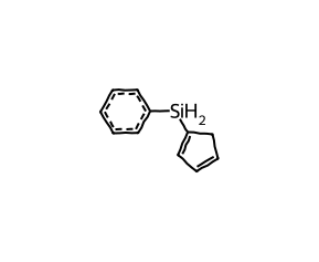 C1=CCC([SiH2]c2ccccc2)=C1